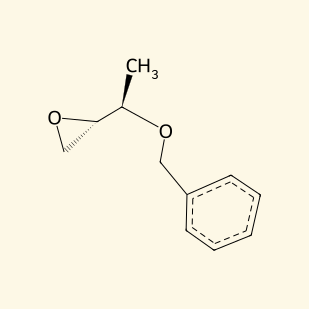 C[C@@H](OCc1ccccc1)[C@@H]1CO1